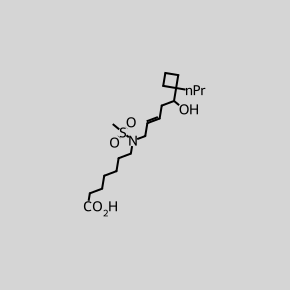 CCCC1(C(O)CC=CCN(CCCCCCC(=O)O)S(C)(=O)=O)CCC1